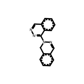 [CH]1c2ccccc2C=NN1C1=[N+]N=Cc2ccccc21